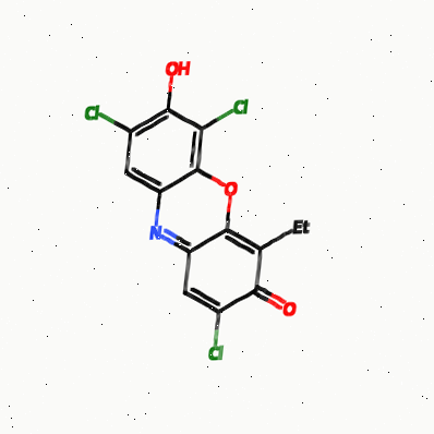 CCc1c2oc3c(Cl)c(O)c(Cl)cc3nc-2cc(Cl)c1=O